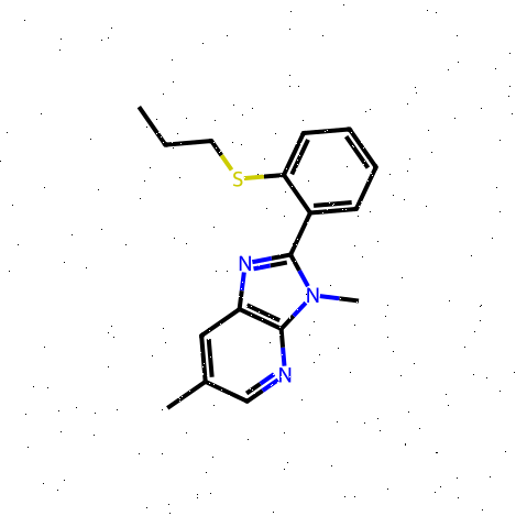 CCCSc1ccccc1-c1nc2cc(C)cnc2n1C